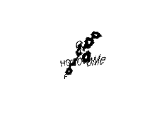 COc1ccc([C@@H]2[C@@H](CCC[C@@H](O)c3ccc(F)cc3)CC(=O)N2c2ccc(-c3ccccc3)cc2)c(O)c1